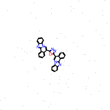 c1ccc2c(c1)nc1c3ccccc3c(-c3nnc(-c4cn5c6ccccc6nc5c5ccccc45)o3)cn21